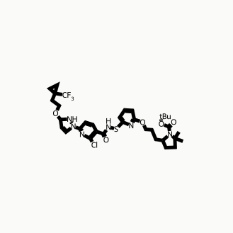 CC(C)(C)OC(=O)N1C(CCCOc2cccc(SNC(=O)c3ccc(N4C=CC(OCCC5(C(F)(F)F)CC5)N4)nc3Cl)n2)CCC1(C)C